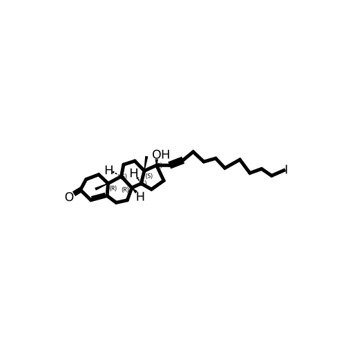 C[C@]12CCC(=O)C=C1CC[C@@H]1[C@@H]2CC[C@@]2(C)[C@H]1CC[C@@]2(O)C#CCCCCCCCCI